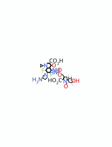 C[C@@H](O)[C@@H]1C(=O)N2C(C(=O)O)=C(COC(=O)NNc3c(F)c(N4CC[C@H](N)C4)c(F)c4c3c(=O)c(C(=O)O)cn4C3CC3)[C@H](C)[C@H]12